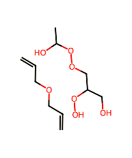 C=CCOCC=C.CC(O)OOCC(CO)OO